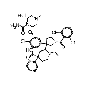 CCN1CCC(C(=O)O)(c2ccccc2)CC1C1(c2ccc(Cl)c(Cl)c2)CCN(C(=O)c2c(Cl)cccc2Cl)C1.CN1CCN(C(N)=O)CC1.Cl